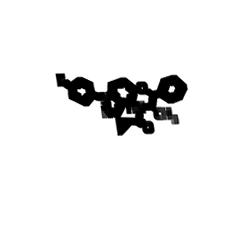 C[C@H](NC(=O)C1CC1)[C@@H](Oc1ccc2c(cnn2-c2ccc(F)cc2)c1)c1ccccc1